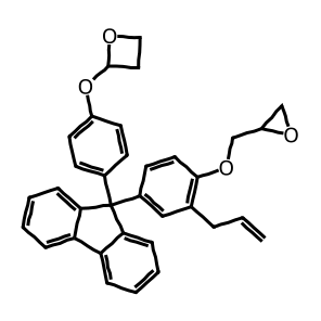 C=CCc1cc(C2(c3ccc(OC4CCO4)cc3)c3ccccc3-c3ccccc32)ccc1OCC1CO1